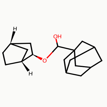 OC(O[C@@H]1C[C@H]2CC[C@@H]1C2)C12CC3CC(CC(C3)C1)C2